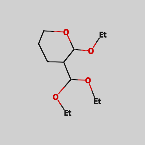 CCOC(OCC)C1CCCOC1OCC